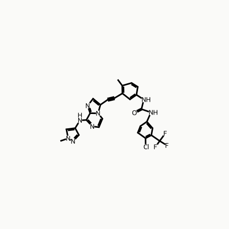 Cc1ccc(NC(=O)Nc2ccc(Cl)c(C(F)(F)F)c2)cc1C#Cc1cnc2c(Nc3cnn(C)c3)nccn12